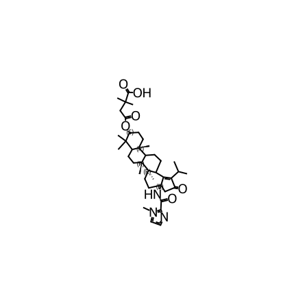 CC(C)C1=C2C3CCC4[C@@]5(C)CC[C@H](OC(=O)CC(C)(C)C(=O)O)C(C)(C)C5CC[C@@]4(C)[C@]3(C)CC[C@@]2(NC(=O)c2nccn2C)CC1=O